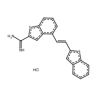 Cl.N=C(N)c1cc2c(/C=C/c3cc4ccccc4s3)cccc2s1